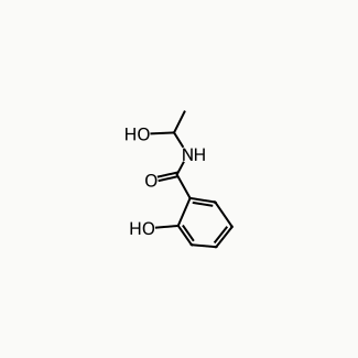 CC(O)NC(=O)c1ccccc1O